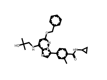 Cc1cc(-c2cnc3c(NCC(C)(C)O)cc(OCc4ccccc4)nn23)ccc1C(=O)NC1CC1